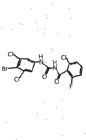 O=C(NC(=O)c1c(F)cccc1Cl)Nc1cc(Cl)c(Br)c(Cl)c1